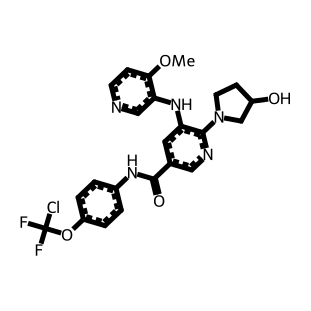 COc1ccncc1Nc1cc(C(=O)Nc2ccc(OC(F)(F)Cl)cc2)cnc1N1CCC(O)C1